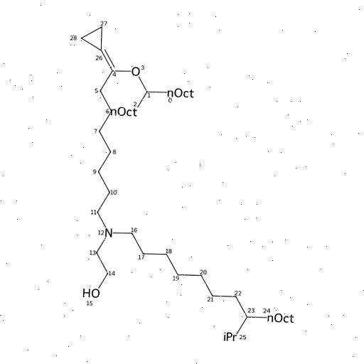 CCCCCCCCC(CCCCCCCC)OC(CCCCCCCN(CCO)CCCCCCCC(CCCCCCCC)C(C)C)=C1CC1